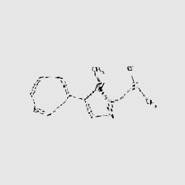 Cn1c(-c2cccnc2)cnc1[S+](C)[O-]